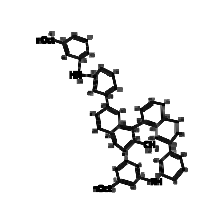 CCCCCCCCc1cccc(Nc2cccc(-c3ccc4cccc(-c5c(C)ccc6ccc(-c7cccc(Nc8cccc(CCCCCCCC)c8)c7)cc56)c4c3)c2)c1